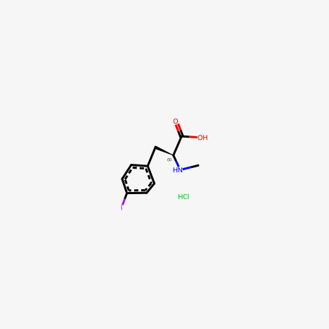 CN[C@@H](Cc1ccc(I)cc1)C(=O)O.Cl